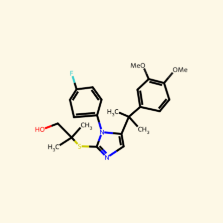 COc1ccc(C(C)(C)c2cnc(SC(C)(C)CO)n2-c2ccc(F)cc2)cc1OC